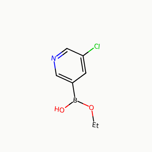 CCOB(O)c1cncc(Cl)c1